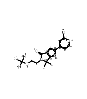 [2H]C([2H])([2H])OCCN1C(=O)c2cc(-c3ccnc(Cl)c3)sc2C1(C)C